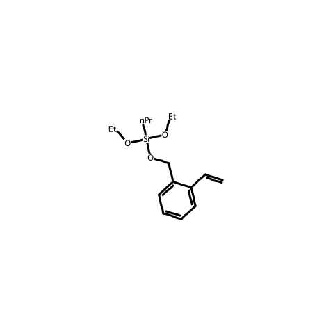 C=Cc1ccccc1CO[Si](CCC)(OCC)OCC